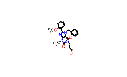 Cn1c(=O)n(CCCO)c(=O)c2c1nc(-c1ccccc1OC(F)(F)F)n2Cc1ccccc1